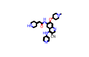 CN1CCC(OC2=C(NC(=O)C=C3CCNCC3)CC3C(=C2)N=CC(C#N)=C3Nc2ccncc2)CC1